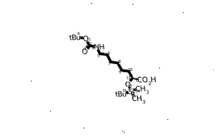 CC(C)(C)OC(=O)NCCCCCC[C@H](O[Si](C)(C)C(C)(C)C)C(=O)O